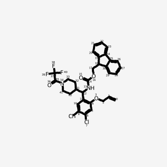 C=CCOc1cc(Cl)c(Cl)cc1C(NC(=O)OCC1c2ccccc2-c2ccccc21)C1CCN(C(=O)C(F)(F)F)CC1